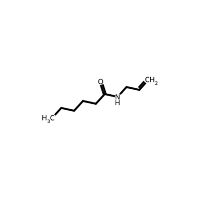 C=CCNC(=O)CCCCC